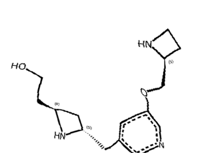 OCC[C@H]1C[C@H](Cc2cncc(OC[C@@H]3CCN3)c2)N1